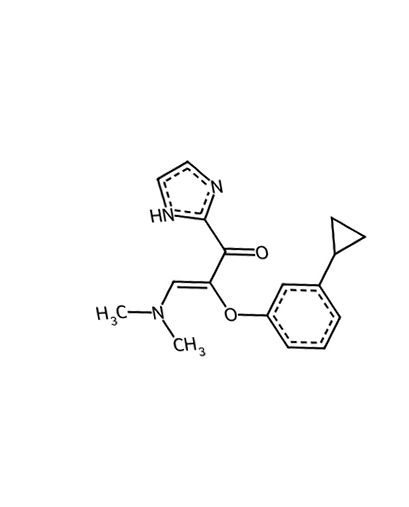 CN(C)C=C(Oc1cccc(C2CC2)c1)C(=O)c1ncc[nH]1